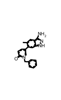 Cc1cc2c(N)n[nH]c2cc1-c1ccc(=O)n(Cc2ccccc2)c1